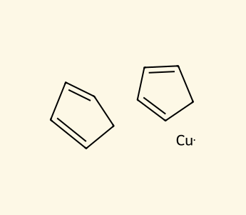 C1=CCC=C1.C1=CCC=C1.[Cu]